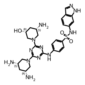 N[C@@H]1C[C@H](N)CN(c2nc(Nc3ccc(S(=O)(=O)Nc4ccc5cn[nH]c5c4)cc3)nc(N3C[C@@H](N)C[C@@H](O)C3)n2)C1